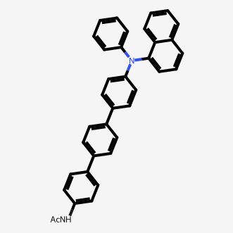 CC(=O)Nc1ccc(-c2ccc(-c3ccc(N(c4ccccc4)c4cccc5ccccc45)cc3)cc2)cc1